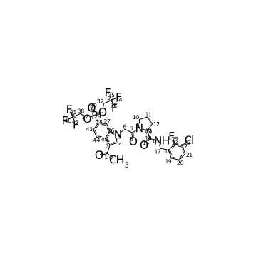 CC(=O)c1cn(CC(=O)N2CCC[C@H]2C(=O)NCc2cccc(Cl)c2F)c2cc(P(=O)(OCC(F)(F)F)OCC(F)(F)F)ccc12